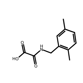 Cc1ccc(C)c(CNC(=O)C(=O)O)c1